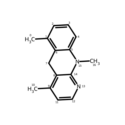 Cc1cccc2c1Cc1c(C)ccnc1N2C